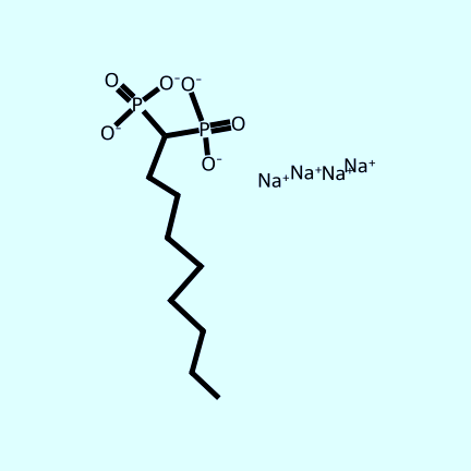 CCCCCCCCC(P(=O)([O-])[O-])P(=O)([O-])[O-].[Na+].[Na+].[Na+].[Na+]